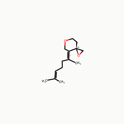 CC(C)=CCC/C(C)=C1\COCC[C@]12CO2